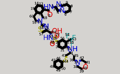 O=C(Nc1cn2ccccc2n1)c1cccc2c1CN(c1nc(C(O)NS(=O)(=O)c3ccc(N[C@H](CCN4CCOCC4)CSc4ccccc4)c(C(F)(F)F)c3)cs1)CC2